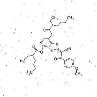 CCCCC(CC)C(=O)Cc1ccc(OC(=O)C(CC)CCCC)c2c1S/C(=C(\C#N)C(=O)c1ccc(OC)cc1)S2